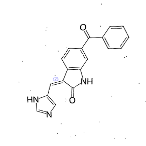 O=C1Nc2cc(C(=O)c3ccccc3)ccc2/C1=C/c1cnc[nH]1